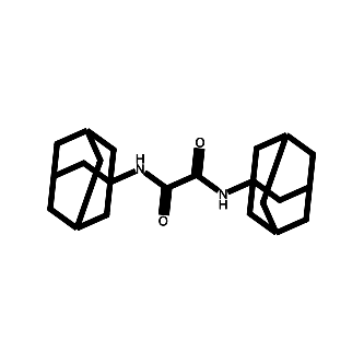 O=C(NC12CC3CC(CC(C3)C1)C2)C(=O)NC12CC3CC(CC(C3)C1)C2